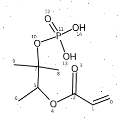 C=CC(=O)OC(C)C(C)(C)OP(=O)(O)O